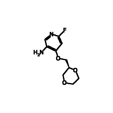 Nc1cnc(F)cc1OC[C@@H]1COCCO1